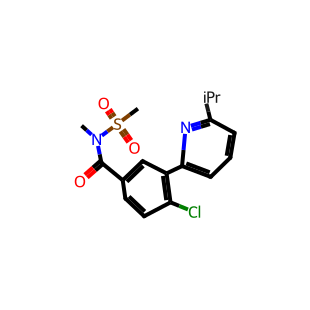 CC(C)c1cccc(-c2cc(C(=O)N(C)S(C)(=O)=O)ccc2Cl)n1